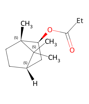 CCC(=O)O[C@H]1C[C@@H]2CC[C@@]1(C)C2(C)C